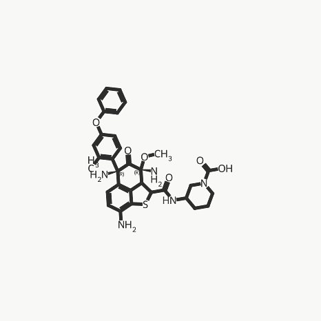 CO[C@@]1(N)C(=O)[C@@](N)(c2ccc(Oc3ccccc3)cc2C)c2ccc(N)c3c2C1C(C(=O)NC1CCCN(C(=O)O)C1)S3